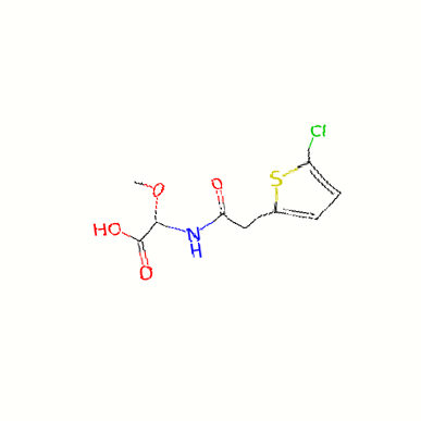 COC(NC(=O)Cc1ccc(Cl)s1)C(=O)O